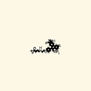 CN(C)C(=O)C=CCNCCOc1ccc(C(=C(CC(F)(F)F)c2ccc(F)cc2Cl)c2ccc3[nH]nc(F)c3c2)cc1